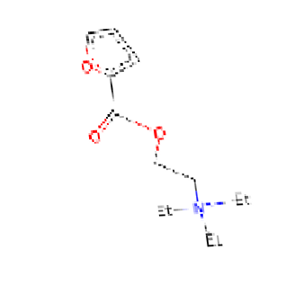 CC[N+](CC)(CC)CCOC(=O)c1ccco1